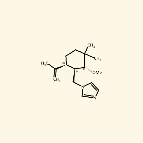 C=C(C)[C@H]1CCC(C)(C)[C@H](OC)[C@H]1Cn1ccnc1